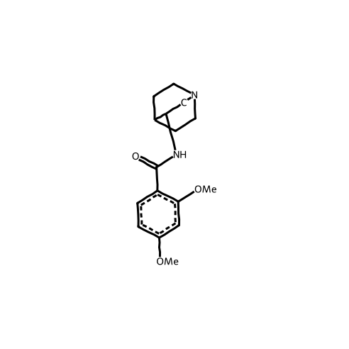 COc1ccc(C(=O)NC2CN3CCC2CC3)c(OC)c1